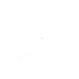 C1=C[CH]([Ti](=[SiH]Cc2ccccc2)[CH]2C=Cc3ccccc32)c2ccccc21.Cl.Cl